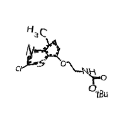 Cc1ccc(OCCNC(=O)OC(C)(C)C)c2sc(Cl)nc12